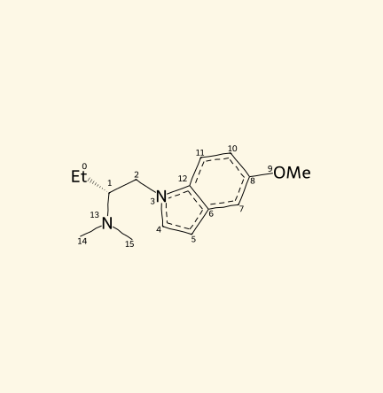 CC[C@H](Cn1ccc2cc(OC)ccc21)N(C)C